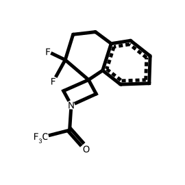 O=C(N1CC2(C1)c1ccccc1CCC2(F)F)C(F)(F)F